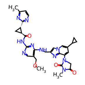 COCc1cnc(NC(=O)[C@H]2C[C@@H]2c2nccc(C)n2)nc1NCc1cn2cc(C3CC3)cc(N3CC(=O)N(C)C3=O)c2n1